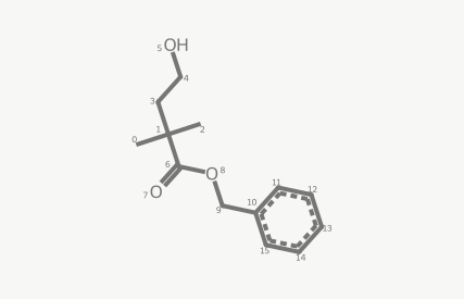 CC(C)(CCO)C(=O)OCc1ccccc1